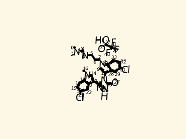 CN(C)C=NCCCn1cc(-n2c(-c3cn(C)c4ccc(Cl)cc34)n[nH]c2=O)c2cc(Cl)ccc21.O=C(O)C(F)(F)F